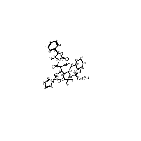 CC(C)C(C(=O)N1C(=O)OC(c2ccccc2)C1C)C(OS(=O)n1ccnc1)C1OC(C)(C)N(C(=O)OC(C)(C)C)[C@@H]1CC1CCCCC1